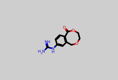 N=C(N)Nc1ccc2c(c1)COCCOC2=O